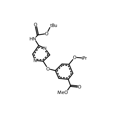 COC(=O)c1cc(Oc2cnc(NC(=O)OC(C)(C)C)cn2)cc(OC(C)C)c1